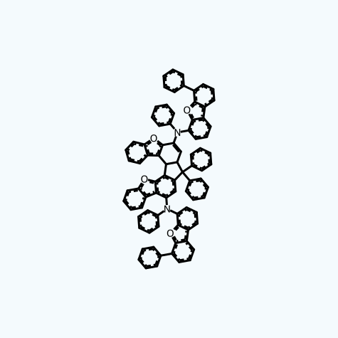 C1=C(N(c2ccccc2)c2cccc3c2oc2c(-c4ccccc4)cccc23)c2oc3ccccc3c2C2c3c(cc(N(c4ccccc4)c4cccc5c4oc4c(-c6ccccc6)cccc45)c4c3oc3ccccc34)C(c3ccccc3)(c3ccccc3)C12